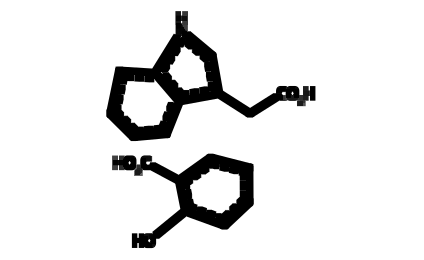 O=C(O)Cc1c[nH]c2ccccc12.O=C(O)c1ccccc1O